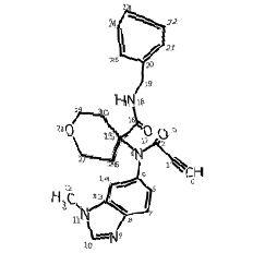 C#CC(=O)N(c1ccc2ncn(C)c2c1)C1(C(=O)NCc2ccccc2)CCOCC1